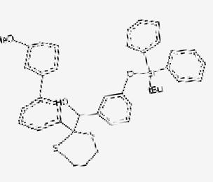 COc1cccc(-c2cccc(C3(C(O)c4cccc(O[Si](c5ccccc5)(c5ccccc5)C(C)(C)C)c4)SCCCS3)c2)c1